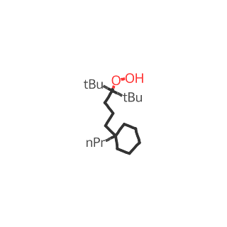 CCCC1(CCCC(OO)(C(C)(C)C)C(C)(C)C)CCCCC1